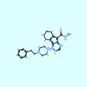 CCNC(=O)c1c2ncnn(N3CCN(CCc4ccccc4)CC3)c-2c2c1CCCC2